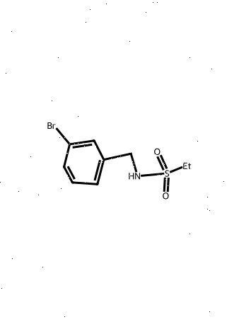 CCS(=O)(=O)NCc1cccc(Br)c1